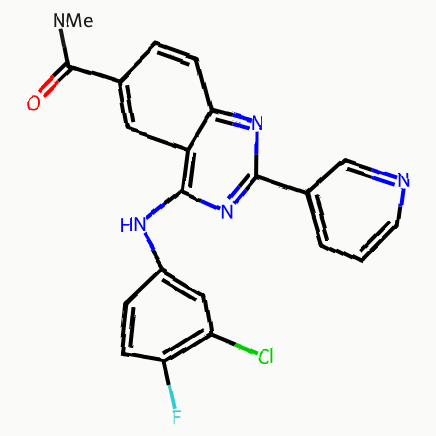 CNC(=O)c1ccc2nc(-c3cccnc3)nc(Nc3ccc(F)c(Cl)c3)c2c1